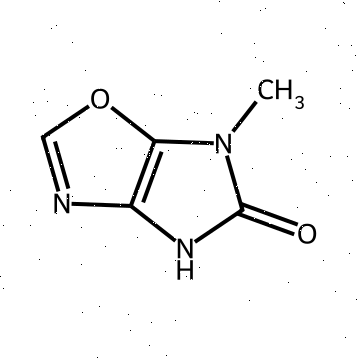 Cn1c(=O)[nH]c2ncoc21